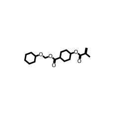 C=C(C)C(=O)OC1CCC(C(=O)OCOC2CCCCC2)CC1